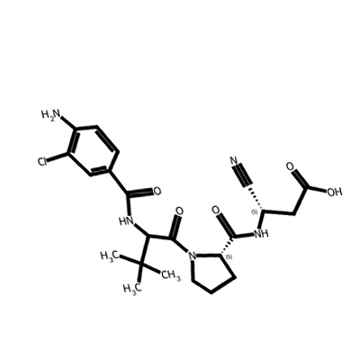 CC(C)(C)C(NC(=O)c1ccc(N)c(Cl)c1)C(=O)N1CCC[C@H]1C(=O)N[C@H](C#N)CC(=O)O